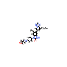 COc1cc(-c2cc3[nH]c(=O)n(C4CCC(N5CC6(COC6)C5)CC4)c3cc2C(C)C)cn2ncnc12